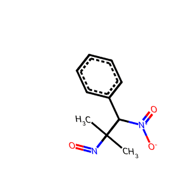 CC(C)(N=O)C(c1ccccc1)[N+](=O)[O-]